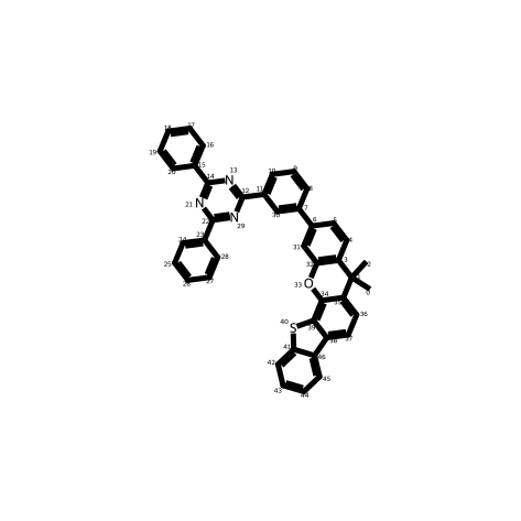 CC1(C)c2ccc(-c3cccc(-c4nc(-c5ccccc5)nc(-c5ccccc5)n4)c3)cc2Oc2c1ccc1c2sc2ccccc21